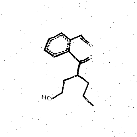 CCCC(CCO)C(=O)c1ccccc1[C]=O